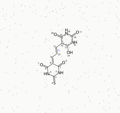 O=C1NC(=S)NC(=O)C1=C/C=C/c1c(O)[nH]c(=O)[nH]c1=O